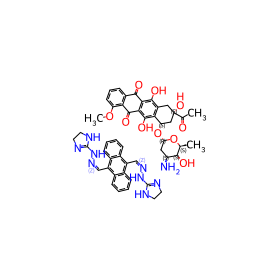 C(=N/NC1=NCCN1)/c1c2ccccc2c(/C=N\NC2=NCCN2)c2ccccc12.COc1cccc2c1C(=O)c1c(O)c3c(c(O)c1C2=O)C[C@@](O)(C(C)=O)C[C@@H]3O[C@H]1C[C@H](N)[C@H](O)[C@H](C)O1